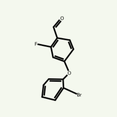 O=Cc1ccc(Oc2ccccc2Br)cc1F